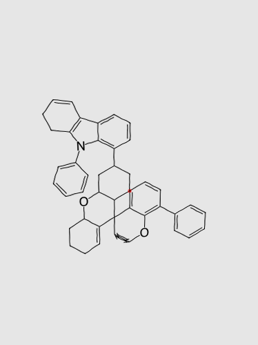 C1=Cc2c(n(-c3ccccc3)c3c(C4CCC5C(C4)OC4CCCC=C4C54c5ccccc5Oc5c(-c6ccccc6)cccc54)cccc23)CC1